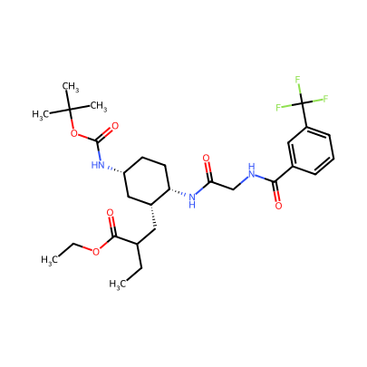 CCOC(=O)C(CC)C[C@@H]1C[C@H](NC(=O)OC(C)(C)C)CC[C@@H]1NC(=O)CNC(=O)c1cccc(C(F)(F)F)c1